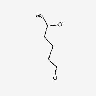 CCCC(Cl)CCCCCl